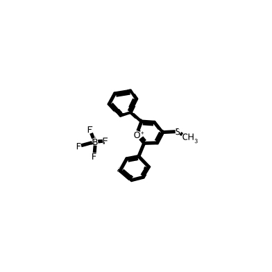 CSc1cc(-c2ccccc2)[o+]c(-c2ccccc2)c1.F[B-](F)(F)F